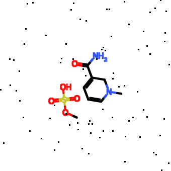 CN1C=CC=C(C(N)=O)C1.COS(=O)(=O)O